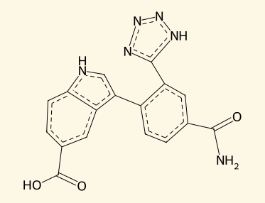 NC(=O)c1ccc(-c2c[nH]c3ccc(C(=O)O)cc23)c(-c2nnn[nH]2)c1